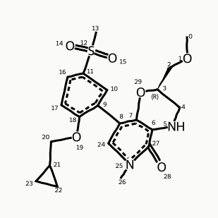 COC[C@H]1CNc2c(c(-c3cc(S(C)(=O)=O)ccc3OCC3CC3)cn(C)c2=O)O1